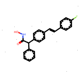 O=C(NO)C(c1ccccc1)c1ccc(C=Cc2ccc(F)cc2)cc1